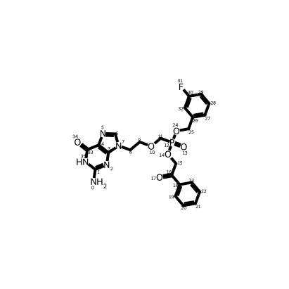 Nc1nc2c(ncn2CCOCP(=O)(OCC(=O)c2ccccc2)OCc2cccc(F)c2)c(=O)[nH]1